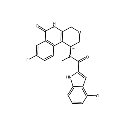 CN(C(=O)c1cc2c(Cl)cccc2[nH]1)[C@@H]1COCc2[nH]c(=O)c3cc(F)ccc3c21